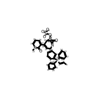 CC=C[P+](c1ccccc1)(c1ccccc1)c1ccccc1.Cn1cccc(C2=CCN3CC2N(OS(=O)(=O)[O-])C3=O)c1=O